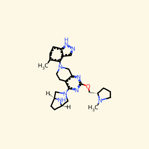 Cc1ccc2[nH]ncc2c1N1CCc2c(nc(OC[C@@H]3CCCN3C)nc2N2C[C@H]3CC[C@@H](C2)N3)C1